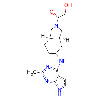 Cc1nc(N[C@@H]2CC[C@H]3CN(C(=O)CO)C[C@H]3C2)c2cc[nH]c2n1